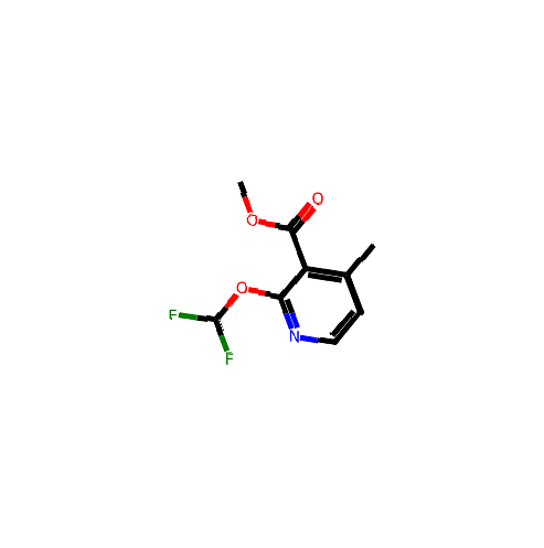 COC(=O)c1c(C)ccnc1OC(F)F